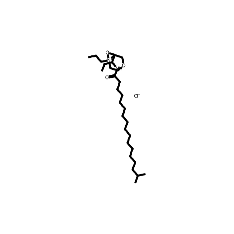 CCC[N+]12CCOCC1(C(CC)NC(=O)CCCCCCCCCCCCCCC(C)C)O2.[Cl-]